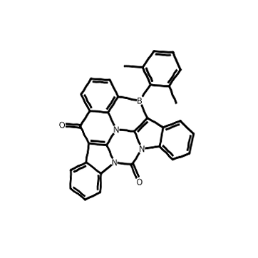 Cc1cccc(C)c1B1c2cccc3c(=O)c4c5ccccc5n5c(=O)n6c7ccccc7c1c6n(c23)c45